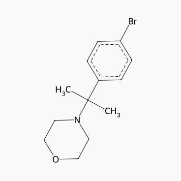 CC(C)(c1ccc(Br)cc1)N1CCOCC1